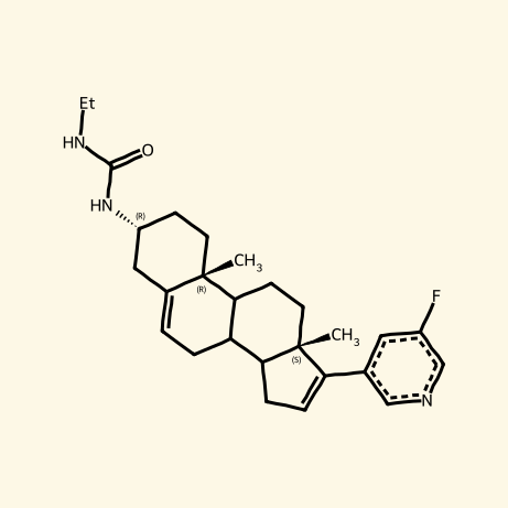 CCNC(=O)N[C@@H]1CC[C@@]2(C)C(=CCC3C2CC[C@]2(C)C(c4cncc(F)c4)=CCC32)C1